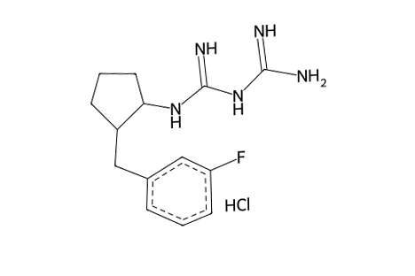 Cl.N=C(N)NC(=N)NC1CCCC1Cc1cccc(F)c1